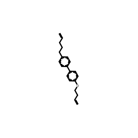 C=CCCCc1ccc(-c2ccc(OCCC=C)cc2)cc1